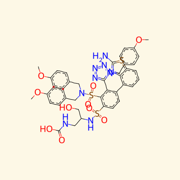 COc1ccc(CN(Cc2ccc(OC)cc2)S(=O)(=O)c2c(S(=O)(=O)NC(CO)CNC(=O)O)ccc(-c3cccc4sc(N)nc34)c2-c2nnnn2Cc2ccc(OC)cc2)cc1